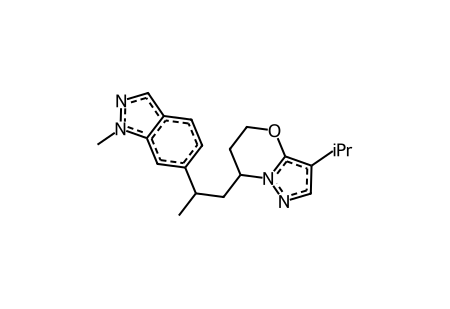 CC(C)c1cnn2c1OCCC2CC(C)c1ccc2cnn(C)c2c1